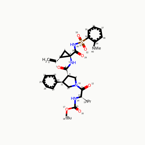 C=C[C@@H]1C[C@]1(NC(=O)[C@@H]1CN(C(=O)[C@@H](NC(=O)OC(C)(C)C)C(C)C)C[C@H]1c1ccccc1)C(=O)NS(=O)(=O)c1ccccc1NC